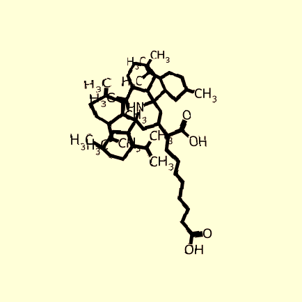 CC1CCC(C(C)C)C(C2(C3CC(C)CCC3C(C)C)CC(C(CCCCCCCC(=O)O)C(=O)O)CC(C3CC(C)CCC3C(C)C)(C3CC(C)CCC3C(C)C)N2)C1